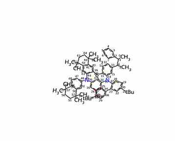 CC(c1ccccc1)C(C)c1ccc2c(c1)N(c1ccc(C(C)(C)C)cc1-c1ccc(C(C)(C)C)cc1)c1cc(C(C)(C)C)cc3c1B2c1cc2c(cc1N3c1ccc3c(c1)C(C)(C)CCC3(C)C)C(C)(C)CCC2(C)C